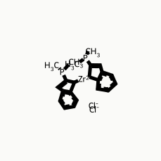 CP(C)C1=Cc2ccccc2[CH]1[Zr+2][CH]1C(P(C)C)=Cc2ccccc21.[Cl-].[Cl-]